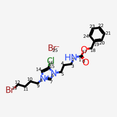 O=C(NCCCn1c[n+](CCCCBr)cc1Cl)OCc1ccccc1.[Br-]